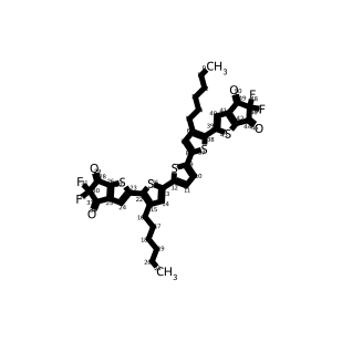 CCCCCCc1cc(-c2ccc(-c3cc(CCCCCC)c(-c4cc5c(s4)C(=O)C(F)(F)C5=O)s3)s2)sc1-c1cc2c(s1)C(=O)C(F)(F)C2=O